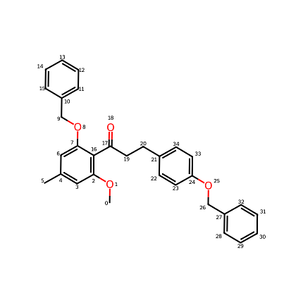 COc1cc(C)cc(OCc2ccccc2)c1C(=O)CCc1ccc(OCc2ccccc2)cc1